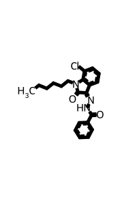 CCCCCCN1C(=O)C(=NNC(=O)c2ccccc2)c2cccc(Cl)c21